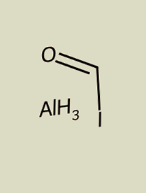 O=CI.[AlH3]